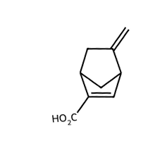 C=C1CC2CC1C=C2C(=O)O